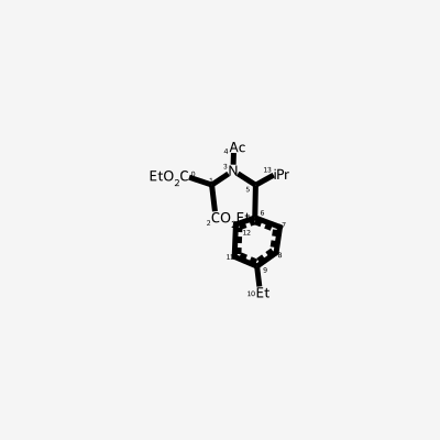 CCOC(=O)C(C(=O)OCC)N(C(C)=O)C(c1ccc(CC)cc1)C(C)C